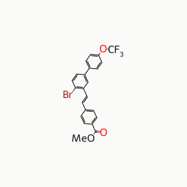 COC(=O)c1ccc(/C=C/c2cc(-c3ccc(OC(F)(F)F)cc3)ccc2Br)cc1